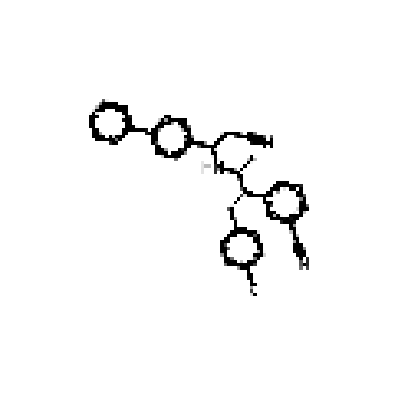 C[C@H](NC(CC#N)c1ccc(-c2ccccc2)cc1)[C@@H](Cc1ccc(Cl)cc1)c1cccc(C#N)c1